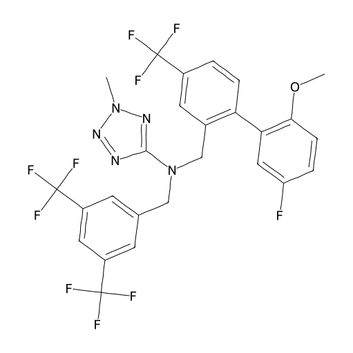 COc1ccc(F)cc1-c1ccc(C(F)(F)F)cc1CN(Cc1cc(C(F)(F)F)cc(C(F)(F)F)c1)c1nnn(C)n1